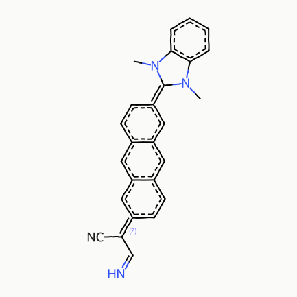 CN1C(=c2ccc3cc4c/c(=C(\C#N)C=N)ccc4cc3c2)N(C)c2ccccc21